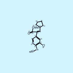 CCCSc1ncc(C(=CC2CCCC2)C(=O)OC)cc1Cl